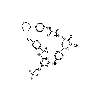 COC(=O)[C@H](CNC(=O)C(=O)Nc1ccc(C2CCCCC2)cc1)NC(=O)c1ccc(Nc2nc(NC3(c4ccc(Cl)cc4)CC3)nc(OCC(F)(F)F)n2)cc1